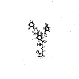 Cc1ccccc1N1CCN(c2ccc(C(=O)NCCCN3CCCC3=O)cc2NC(=O)c2nc(Br)cs2)CC1